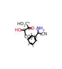 N#CC(N)c1ccccc1.O=C(O)C(=O)C(O)C(=O)O